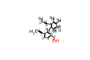 CC#Cc1ccc(CO)cc1.[2H]CC#Cc1c([2H])c([2H])c(CI)c([2H])c1[2H]